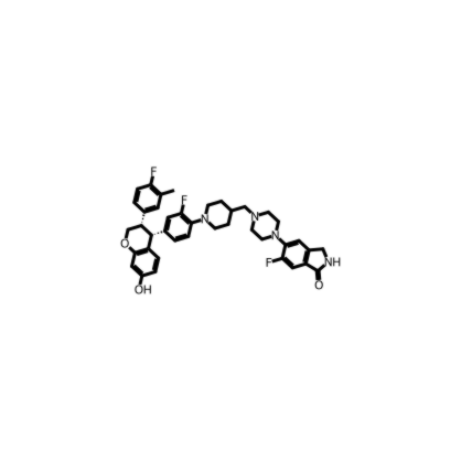 Cc1cc([C@H]2COc3cc(O)ccc3[C@H]2c2ccc(N3CCC(CN4CCN(c5cc6c(cc5F)C(=O)NC6)CC4)CC3)c(F)c2)ccc1F